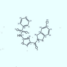 O=C(c1csc(NS(=O)(=O)c2ccccc2)n1)N1Cc2ccc(Cl)cc2C1